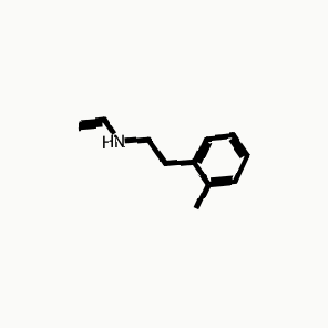 C=CNCCc1ccccc1C